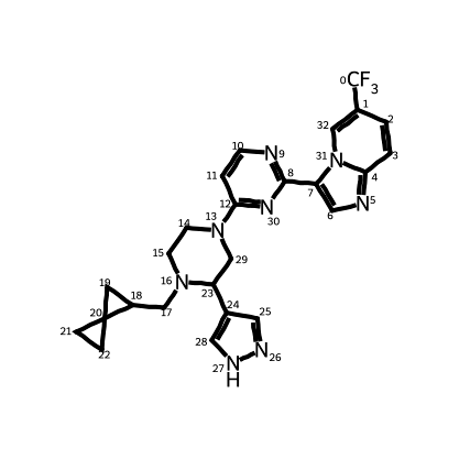 FC(F)(F)c1ccc2ncc(-c3nccc(N4CCN(CC5CC56CC6)C(c5cn[nH]c5)C4)n3)n2c1